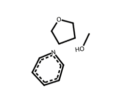 C1CCOC1.CO.c1ccncc1